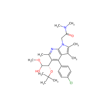 COC(O)[C@@H](OC(C)(C)C)c1c(C)nc2c(c(C)c(C)n2CC(=O)N(C)C)c1-c1ccc(Cl)cc1